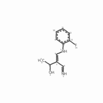 CC(O)/C(C=N)=C/Nc1ccccc1F